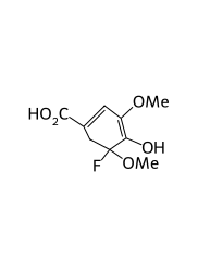 COC1=C(O)C(F)(OC)CC(C(=O)O)=C1